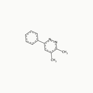 Cc1cc(-c2ccccc2)nnc1C